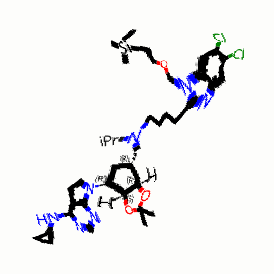 CC(C)N(CCCCc1nc2cc(Cl)c(Cl)cc2n1COCC[Si](C)(C)C)C[C@H]1C[C@@H](n2ccc3c(NC4CC4)ncnc32)[C@@H]2OC(C)(C)O[C@H]12